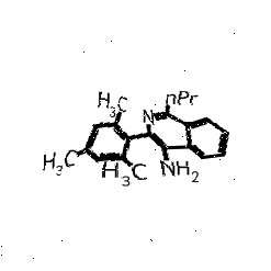 CCCc1nc(-c2c(C)cc(C)cc2C)c(N)c2ccccc12